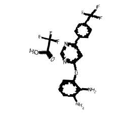 Nc1cccc(Oc2cc(-c3ccc(C(F)(F)F)cc3)ncn2)c1N.O=C(O)C(F)(F)F